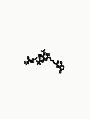 CC(C)[C@H](NC(=O)CCCCC(=O)ON1C(=O)CCC1=O)C(=O)N[C@@H](CCCNC(N)=O)C(=O)C(C)(C)C